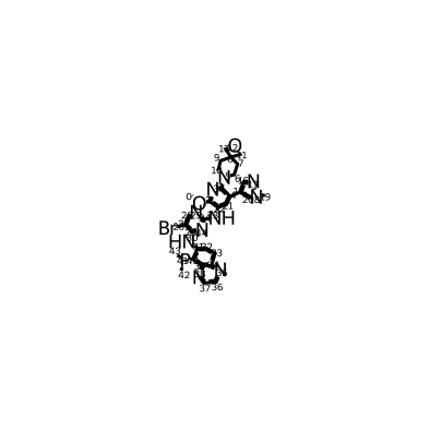 COc1nc(N2CCC3(CC2)COC3)c(-c2cnn(C)c2)cc1Nc1ncc(Br)c(Nc2ccc3nccnc3c2P(C)C)n1